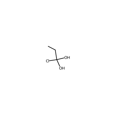 CCC(O)(O)Cl